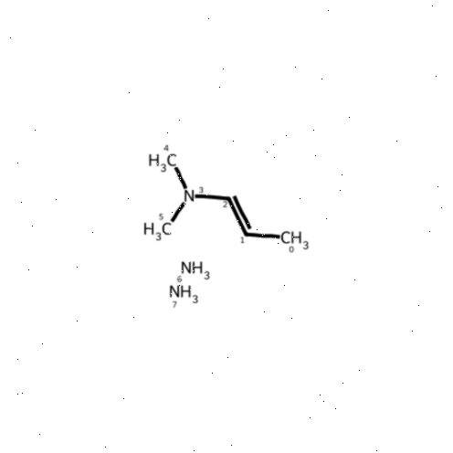 C/C=C/N(C)C.N.N